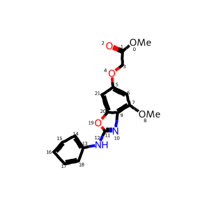 COC(=O)COc1cc(OC)c2nc(Nc3ccccc3)oc2c1